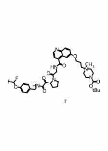 CC(C)(C)OC(=O)N1CC[N+](C)(CCCOc2ccc3nccc(C(=O)NCC(=O)N4CCC[C@H]4C(=O)C(=O)NCc4ccc(OC(F)F)cc4)c3c2)CC1.[I-]